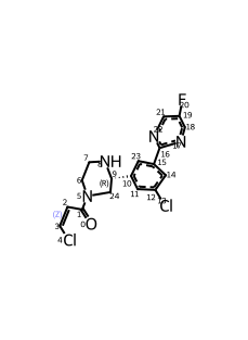 O=C(/C=C\Cl)N1CCN[C@H](c2cc(Cl)cc(-c3ncc(F)cn3)c2)C1